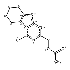 CC(=O)OCc1nc(Cl)c2c3c(sc2n1)CCCC3